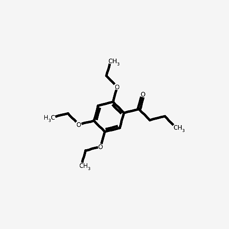 CCCC(=O)c1cc(OCC)c(OCC)cc1OCC